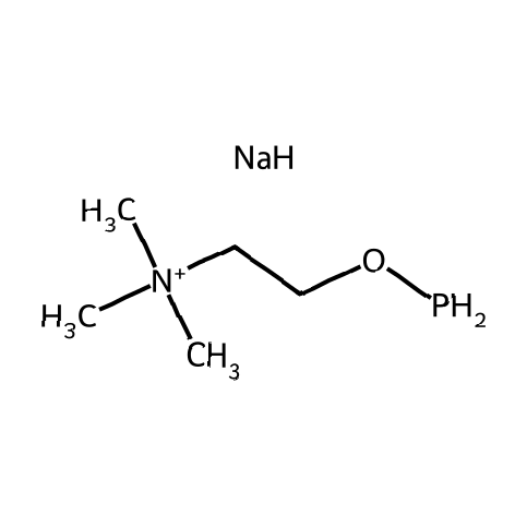 C[N+](C)(C)CCOP.[NaH]